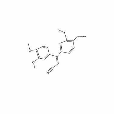 CCc1ccc(/C(=C/C#N)c2ccc(OC)c(OC)c2)cc1CC